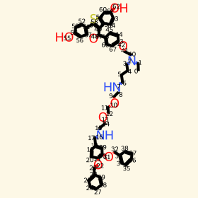 CCN(CCCCNCCOCCOCCNCc1ccc(OCc2ccccc2)c(OCc2ccccc2)c1)CCOc1ccc(C(=O)c2c(-c3ccc(O)cc3)sc3cc(O)ccc23)cc1